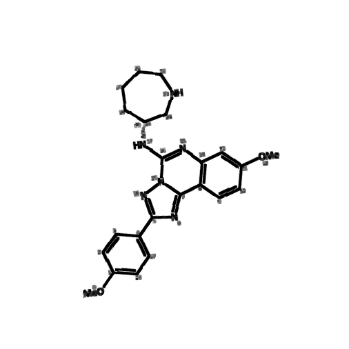 COc1ccc(-c2nc3c4ccc(OC)cc4nc(N[C@@H]4CCCCNC4)n3n2)cc1